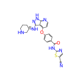 N#Cc1cnc(NC(=O)c2ccc(Oc3ccnc4[nH]nc(N[C@@H]5CCCNC5)c34)cc2)s1